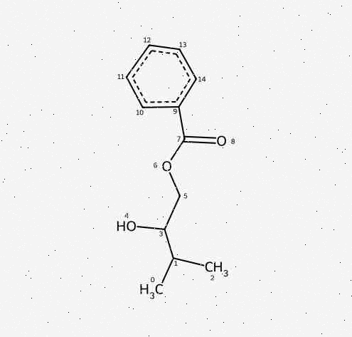 CC(C)C(O)COC(=O)c1ccccc1